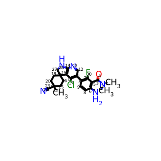 CN(C)C(=O)c1c(N)ccc(-c2cnc3c(c2Cl)C2(CCC(C)(C#N)CC2)CN3)c1F